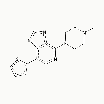 CN1CCN(c2ncc(-c3cccs3)n3ncnc23)CC1